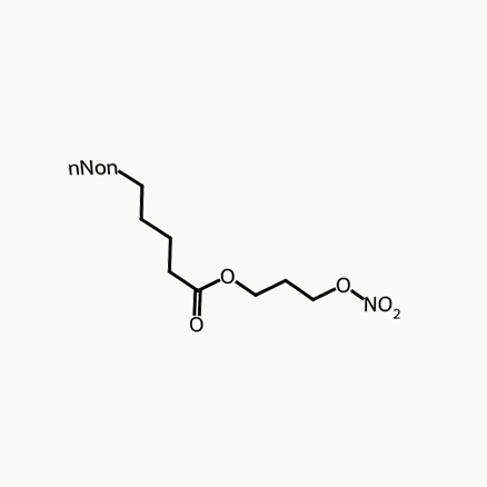 CCCCCCCCCCCCCC(=O)OCCCO[N+](=O)[O-]